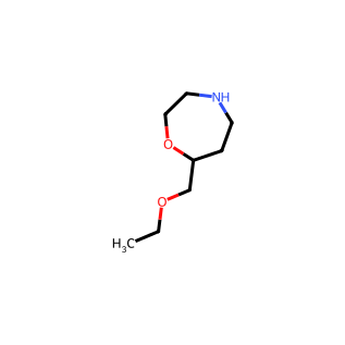 CCOCC1CCNCCO1